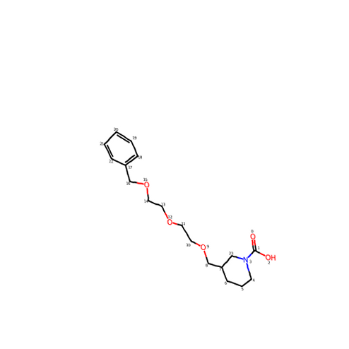 O=C(O)N1CCCC(COCCOCCOCc2ccccc2)C1